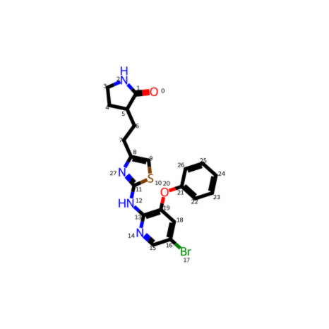 O=C1NCCC1CCc1csc(Nc2ncc(Br)cc2Oc2ccccc2)n1